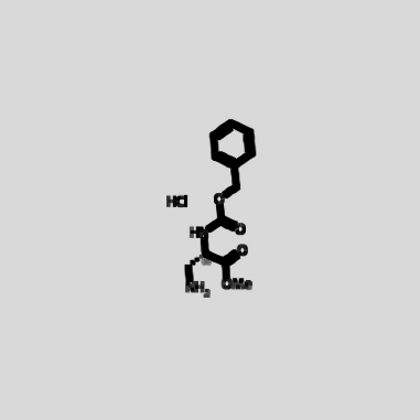 COC(=O)[C@H](CN)NC(=O)OCc1ccccc1.Cl